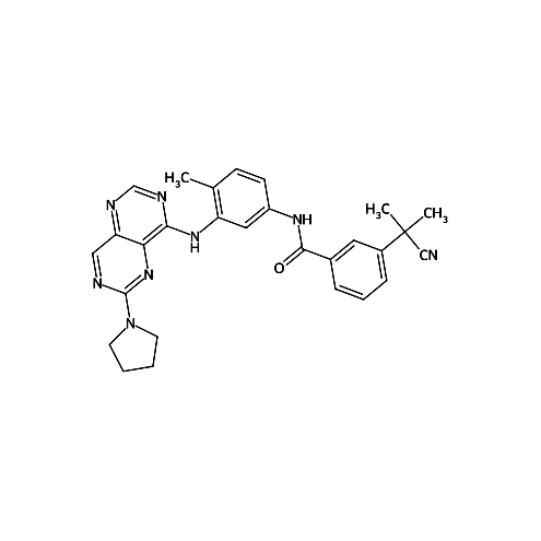 Cc1ccc(NC(=O)c2cccc(C(C)(C)C#N)c2)cc1Nc1ncnc2cnc(N3CCCC3)nc12